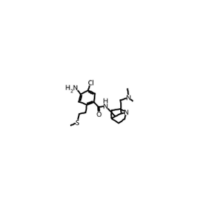 CSCCc1cc(N)c(Cl)cc1C(=O)NC1C2CCN(CC2)C1CN(C)C